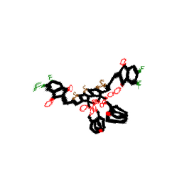 O=C1C(=Cc2cc3c(s2)-c2sc4c(c2C3(C(=O)OCc2ccccc2)C(=O)OCc2ccccc2)C(C(=O)OCc2ccccc2)(C(=O)OCc2ccccc2)c2cc(C=C3C(=O)c5cc(F)c(F)cc5C3=O)sc2-4)C(=O)c2cc(F)c(F)cc21